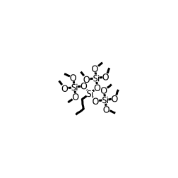 CCC[Si](O[Si](OC)(OC)OC)(O[Si](OC)(OC)OC)O[Si](OC)(OC)OC